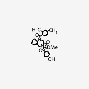 COC(=O)C1CN(C(=O)c2ccc(C)cc2C)c2ccccc2CN1S(=O)(=O)c1ccc(O)cc1